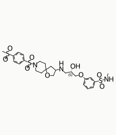 CNS(=O)(=O)c1cccc(OC[C@@H](O)CNC2COC3(CCN(S(=O)(=O)c4ccc(S(C)(=O)=O)cc4)CC3)C2)c1